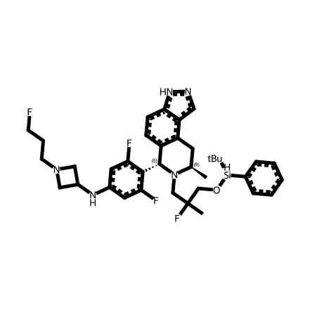 C[C@@H]1Cc2c(ccc3[nH]ncc23)[C@@H](c2c(F)cc(NC3CN(CCCF)C3)cc2F)N1CC(C)(F)CO[SiH](c1ccccc1)C(C)(C)C